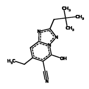 CCc1cc2nc(CC(C)(C)C)nn2c(O)c1C#N